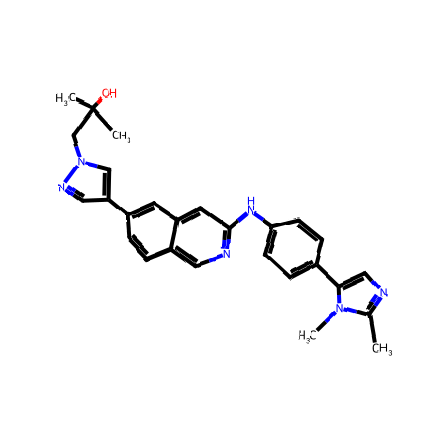 Cc1ncc(-c2ccc(Nc3cc4cc(-c5cnn(CC(C)(C)O)c5)ccc4cn3)cc2)n1C